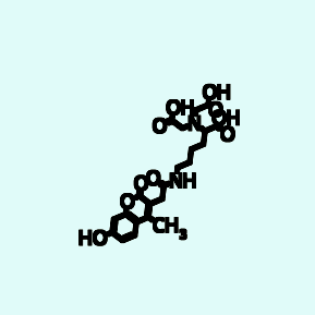 Cc1c(CC(=O)NCCCCC(C(=O)O)N(CC(=O)O)CC(=O)O)c(=O)oc2cc(O)ccc12